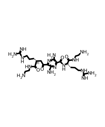 N=C(N)NCCC[C@H](CC(=O)c1nc(N)c(C(=O)N[C@@H](CCCNC(=N)N)C(=O)NCCN)nc1N)C(=O)NCCN